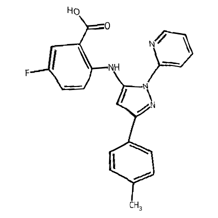 Cc1ccc(-c2cc(Nc3ccc(F)cc3C(=O)O)n(-c3ccccn3)n2)cc1